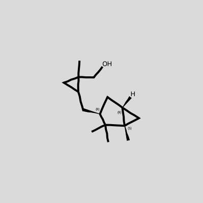 CC1(CO)CC1C[C@H]1C[C@@H]2C[C@]2(C)C1(C)C